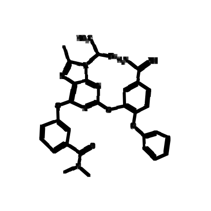 CCC(C)C(C(=O)O)n1c(C)nc2c(Oc3cccc(C(=O)N(C)C)c3)nc(Oc3cc(C(=N)N)ccc3Oc3ccccc3)nc21